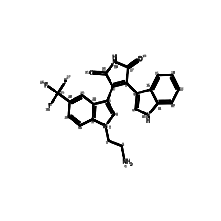 NCCn1cc(C2=C(c3c[nH]c4ccccc34)C(=O)NC2=O)c2cc(C(F)(F)F)ccc21